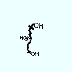 CC(C)(CO)CCCCN(O)CCCCC(C)(C)CO